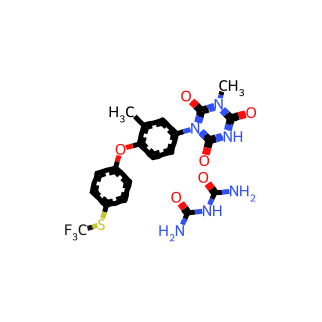 Cc1cc(-n2c(=O)[nH]c(=O)n(C)c2=O)ccc1Oc1ccc(SC(F)(F)F)cc1.NC(=O)NC(N)=O